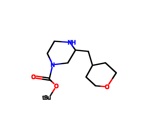 CC(C)(C)OC(=O)N1CCNC(CC2CCOCC2)C1